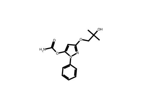 CC(C)(O)COc1cc(OC(N)=O)n(-c2ccccc2)n1